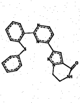 O=C1NCCn2nc(-c3ccnc(-c4ccccc4Sc4ccccc4)n3)cc21